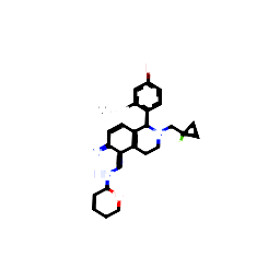 COc1cc(Br)ccc1C1C2=C(CCN1CC1(F)CC1)/C(=C/NC1CCCCO1)C(=N)C=C2